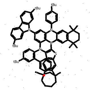 CC1c2cc3c4c(sc3cc2C2(C)CCCC1CC2)B1c2cc3c(cc2N(c2ccc(C(C)(C)C)cc2)c2cc(-n5c6cc(C(C)(C)C)ccc6c6ccc(C(C)(C)C)cc65)cc(c21)N4c1ccc(C(C)(C)C)cc1-c1ccccc1)C(C)(C)CCC3(C)C